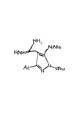 CNc1c(C(=N)N)c(C(C)=O)nn1C(C)(C)C